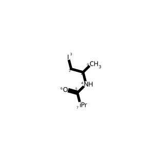 CC(CI)NC(=O)C(C)C